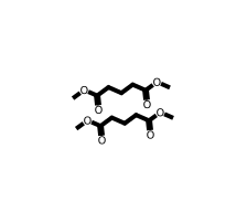 COC(=O)CCCC(=O)OC.COC(=O)CCCC(=O)OC